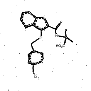 CC(C)(NC(=O)c1sc2ccccc2c1OCc1ccc(C(F)(F)F)nc1)C(=O)O